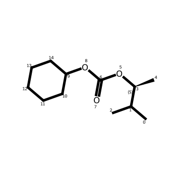 CC(C)[C@H](C)OC(=O)OC1CCCCC1